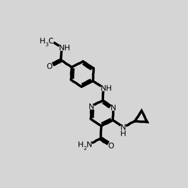 CNC(=O)c1ccc(Nc2ncc(C(N)=O)c(NC3CC3)n2)cc1